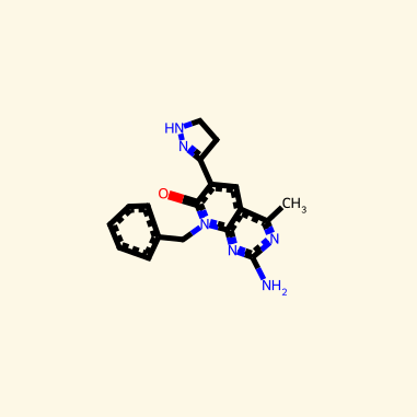 Cc1nc(N)nc2c1cc(C1=NNCC1)c(=O)n2Cc1ccccc1